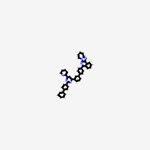 C1=CC(c2cc(-c3ccccn3)nc(-c3ccc(-c4ccccc4)cc3)n2)=CC(c2ccc(-c3nc4c(nc5ccccn54)c4ccccc34)cc2)C1